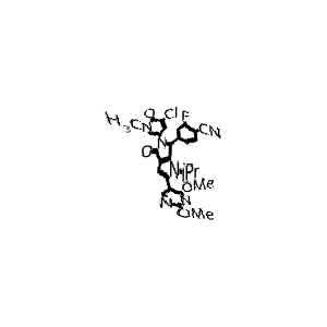 COc1ncc(-c2cc3c(n2C(C)C)C(c2ccc(C#N)c(F)c2)N(c2cc(Cl)c(=O)n(C)c2)C3=O)c(OC)n1